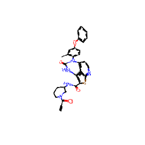 C#CC(=O)N1CCCC(NC(=O)c2sc3nccc4c3c2NC(=O)N4c2ccc(Oc3ccccc3)cc2C)C1